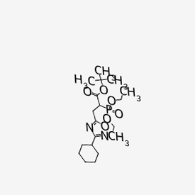 CCOP(=O)(OCC)C(Cc1nc(C2CCCCC2)no1)C(=O)OC(C)(C)C